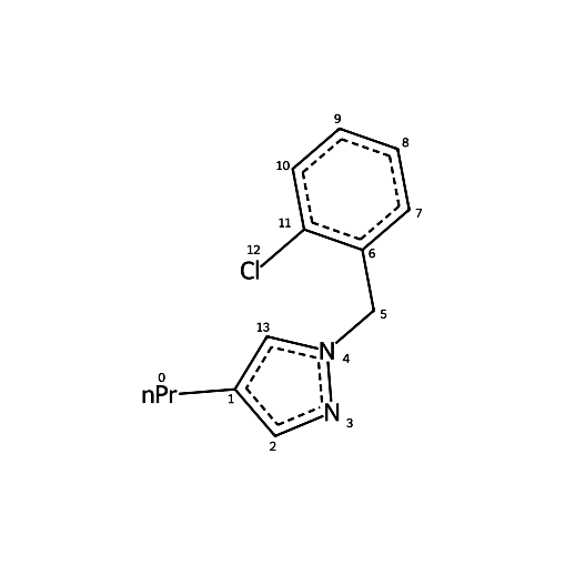 CCCc1cnn(Cc2ccccc2Cl)c1